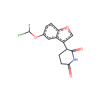 O=C1CCC(c2coc3ccc(OC(F)F)cc23)C(=O)N1